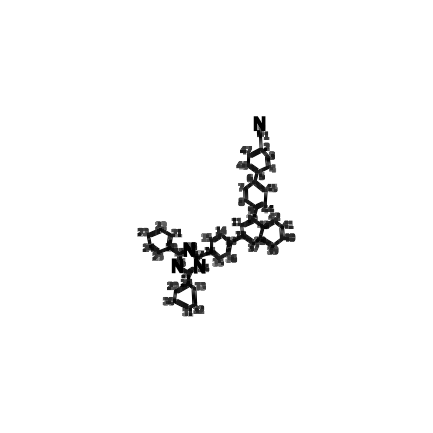 N#Cc1ccc(-c2ccc(-c3cc(-c4ccc(-c5nc(-c6ccccc6)nc(-c6ccccc6)n5)cc4)cc4ccccc34)cc2)cc1